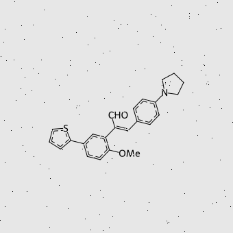 COc1ccc(-c2cccs2)cc1C(C=O)=Cc1ccc(N2CCCC2)cc1